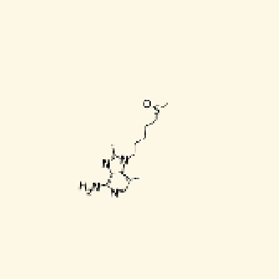 Cc1cnc(N)c2nc(C)n(CCCCC[S+](C)[O-])c12